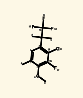 COc1c(C)cc(C(C)(C)C(F)(F)F)c(Cl)c1F